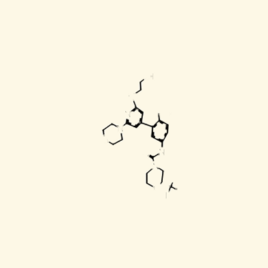 Cc1ccc(NC(=O)N2CCO[C@@H](C(F)(F)F)C2)cc1-c1cc(OCCO)nc(N2CCOCC2)c1